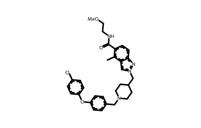 COCCNC(=O)c1ccc2nn(CC3CCN(Cc4ccc(Oc5ccc(Cl)cc5)cc4)CC3)cc2c1C